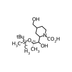 C[C@H](O[Si](C)(C)C(C)(C)C)C(O)C1CC(CO)CCN1C(=O)O